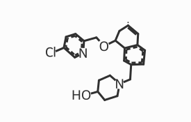 OC1CCN(Cc2ccc3c(c2)C(OCc2ccc(Cl)cn2)C[C]=C3)CC1